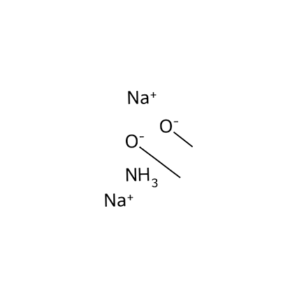 C[O-].C[O-].N.[Na+].[Na+]